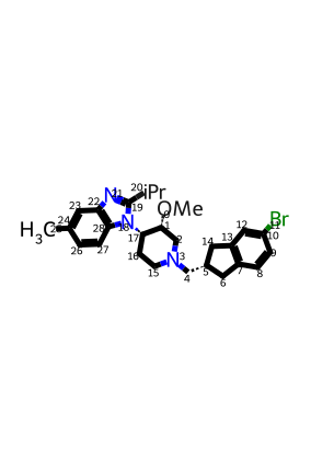 CO[C@@H]1CN(C[C@H]2Cc3ccc(Br)cc3C2)CC[C@@H]1n1c(C(C)C)nc2cc(C)ccc21